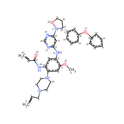 C=CCN1CCN(c2cc(OC)c(Nc3cc(N4OCC[C@@H]4c4cccc(Oc5ccccc5)c4)ncn3)cc2NC(=O)C=C)CC1